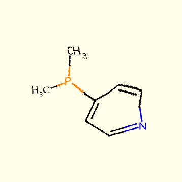 CP(C)c1ccncc1